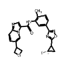 Cc1ccc(-c2noc(C3C[C@@H]3F)n2)cc1NC(=O)c1cnc2ccc(C3COC3)cn12